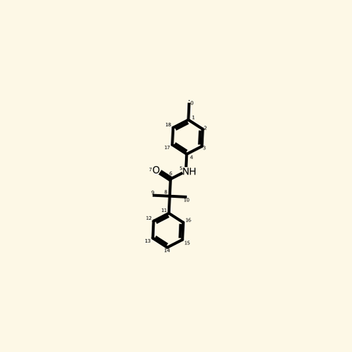 [CH2]c1ccc(NC(=O)C(C)(C)c2ccccc2)cc1